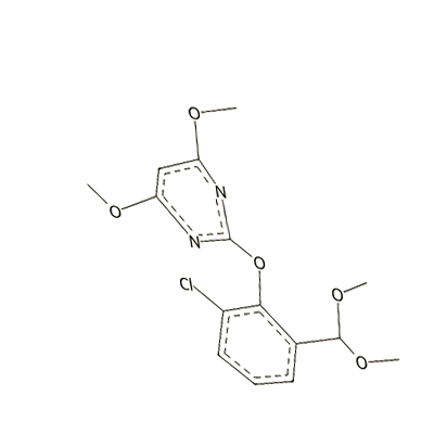 COc1cc(OC)nc(Oc2c(Cl)cccc2C(OC)OC)n1